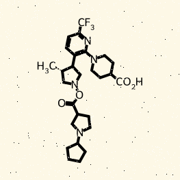 C[C@H]1CN(OC(=O)C2CCN(C3CCCC3)C2)CC1c1ccc(C(F)(F)F)nc1N1CCC(C(=O)O)CC1